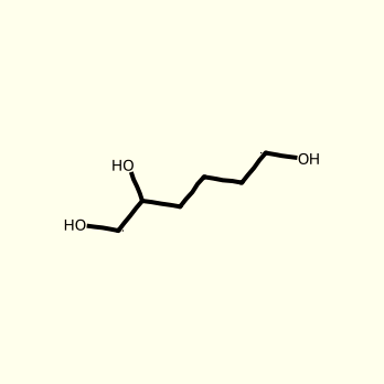 O[CH]CCCC(O)[CH]O